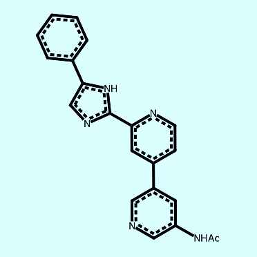 CC(=O)Nc1cncc(-c2ccnc(-c3ncc(-c4ccccc4)[nH]3)c2)c1